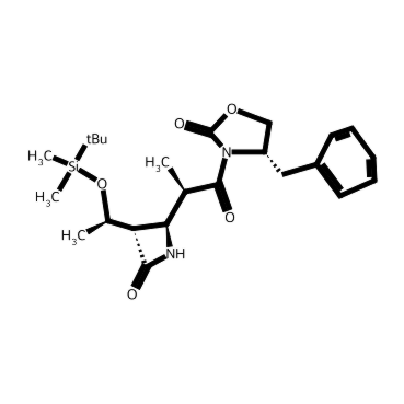 C[C@@H](O[Si](C)(C)C(C)(C)C)[C@H]1C(=O)N[C@@H]1[C@@H](C)C(=O)N1C(=O)OC[C@@H]1Cc1ccccc1